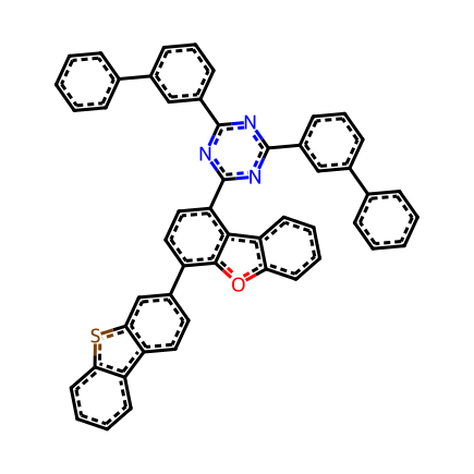 c1ccc(-c2cccc(-c3nc(-c4cccc(-c5ccccc5)c4)nc(-c4ccc(-c5ccc6c(c5)sc5ccccc56)c5oc6ccccc6c45)n3)c2)cc1